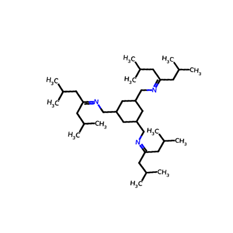 CC(C)CC(CC(C)C)=NCC1CC(CN=C(CC(C)C)CC(C)C)CC(CN=C(CC(C)C)CC(C)C)C1